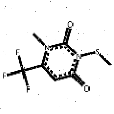 CSn1c(=O)cc(C(F)(F)F)n(C)c1=O